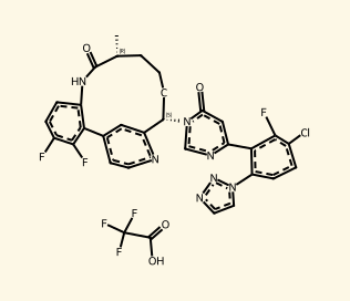 C[C@@H]1CCC[C@H](n2cnc(-c3c(-n4ccnn4)ccc(Cl)c3F)cc2=O)c2cc(ccn2)-c2c(ccc(F)c2F)NC1=O.O=C(O)C(F)(F)F